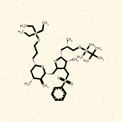 C=C1[C@H](C)C[C@H](CCCO[Si](CC)(CC)CC)O[C@@H]1CC1O[C@H](C[C@H](C)CO[Si](C)(C)C(C)(C)C)[C@H](C)C1CS(=O)(=O)c1ccccc1